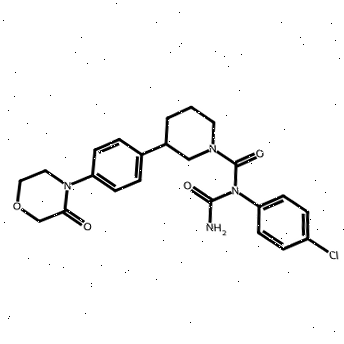 NC(=O)N(C(=O)N1CCCC(c2ccc(N3CCOCC3=O)cc2)C1)c1ccc(Cl)cc1